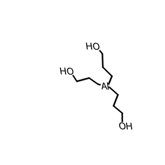 OCC[CH2][Al]([CH2]CCO)[CH2]CCO